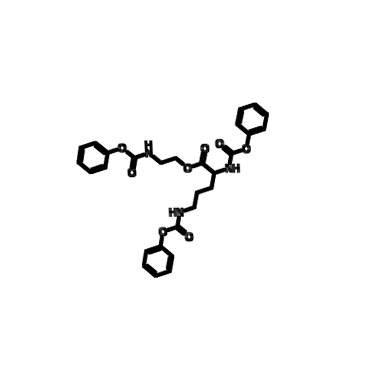 O=C(NCCCC(NC(=O)Oc1ccccc1)C(=O)OCCNC(=O)Oc1ccccc1)Oc1ccccc1